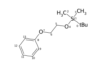 CC(C)(C)[Si](C)(C)OCCOc1[c]cccc1